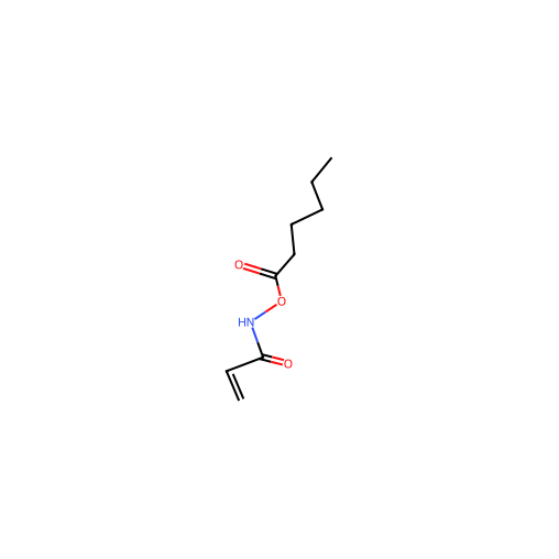 C=CC(=O)NOC(=O)CCCCC